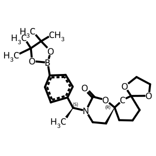 C[C@@H](c1ccc(B2OC(C)(C)C(C)(C)O2)cc1)N1CC[C@@]2(CCCC3(C2)OCCO3)OC1=O